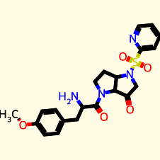 COc1ccc(CC(N)C(=O)N2CCC3C2C(=O)CN3S(=O)(=O)c2ccccn2)cc1